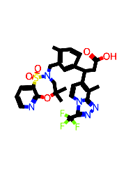 Cc1ccc(C(CC(=O)O)c2ccn3c(C(F)(F)F)nnc3c2C)cc1CN1CC(C)(C)Oc2ncccc2S1(=O)=O